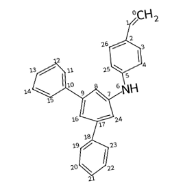 C=Cc1ccc(Nc2cc(-c3ccccc3)cc(-c3ccccc3)c2)cc1